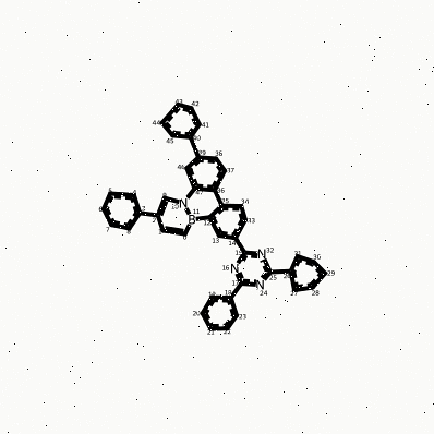 C1=CC(c2ccccc2)=CN2B1c1cc(-c3nc(-c4ccccc4)nc(-c4ccccc4)n3)ccc1-c1ccc(-c3ccccc3)cc12